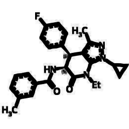 CCN1C(=O)[C@@H](NC(=O)c2cccc(C)c2)[C@@H](c2ccc(F)cc2)c2c(C)nn(C3CC3)c21